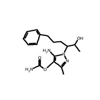 Cc1nn(C(CCCc2ccccc2)C(C)O)c(N)c1OC(N)=O